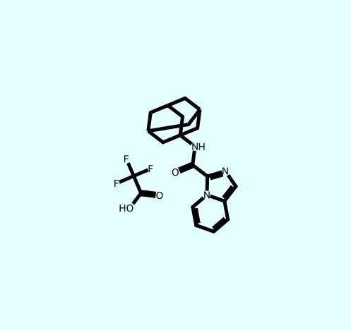 O=C(NC12CC3CC(CC(C3)C1)C2)c1ncc2ccccn12.O=C(O)C(F)(F)F